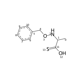 CC(NOCc1ccccc1)C(O)=S